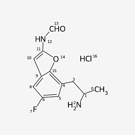 CC(N)Cc1cc(F)cc2cc(NC=O)oc12.Cl